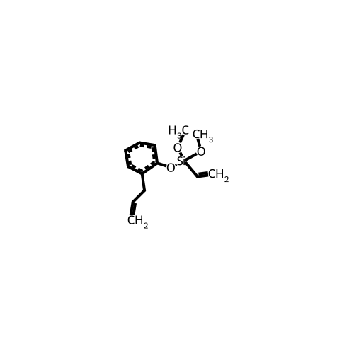 C=CCc1ccccc1O[Si](C=C)(OC)OC